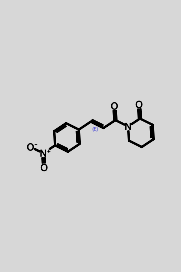 O=C1C=CCCN1C(=O)/C=C/c1ccc([N+](=O)[O-])cc1